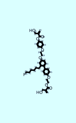 C=C(CO)C(=O)OCCOc1ccc(-c2ccc(OCCOc3ccc(OC(=O)C(=C)CO)cc3)cc2CCCCCCF)cc1